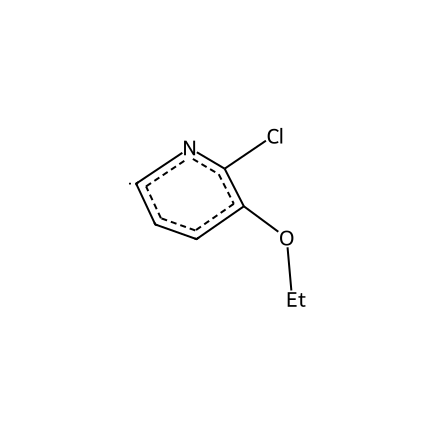 CCOc1cc[c]nc1Cl